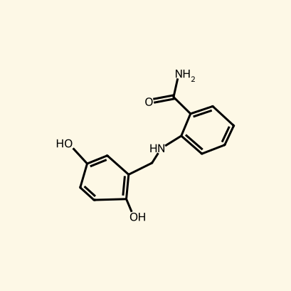 NC(=O)c1ccccc1NCc1cc(O)ccc1O